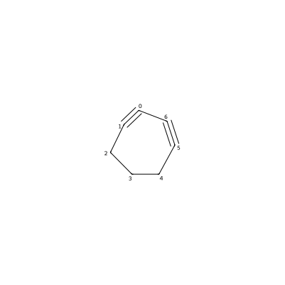 C1#CCCCC#C1